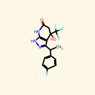 CC(c1ccc(F)cc1)c1n[nH]c2c1C(O)(C(F)(F)F)CC(=O)N2